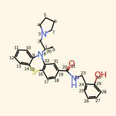 C[C@H](CN1CCCC1)N1c2ccccc2Sc2ccc(C(=O)NCc3ccccc3O)cc21